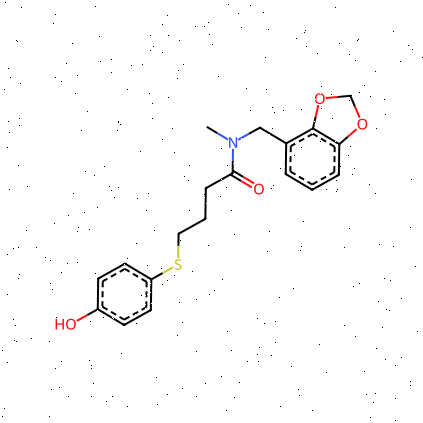 CN(Cc1cccc2c1OCO2)C(=O)CCCSc1ccc(O)cc1